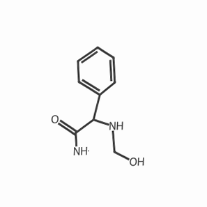 [NH]C(=O)C(NCO)c1ccccc1